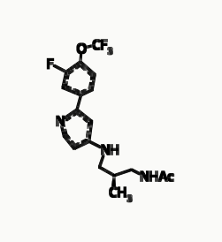 CC(=O)NC[C@@H](C)CNc1ccnc(-c2ccc(OC(F)(F)F)c(F)c2)c1